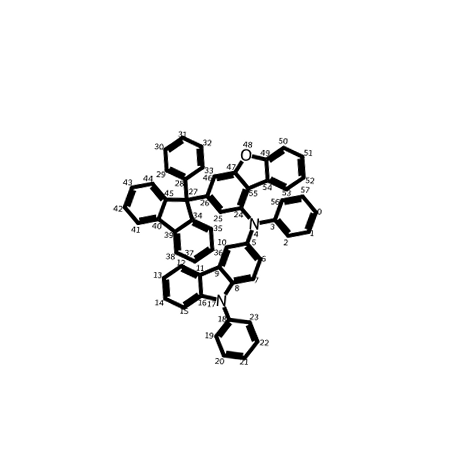 c1ccc(N(c2ccc3c(c2)c2ccccc2n3-c2ccccc2)c2cc(C3(c4ccccc4)c4ccccc4-c4ccccc43)cc3oc4ccccc4c23)cc1